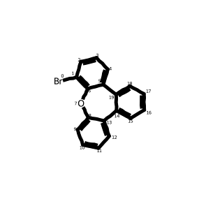 Brc1cccc2c1Oc1ccccc1-c1ccccc1-2